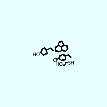 C1=Cc2cccc3cccc1c23.C=Cc1ccc(Cl)cc1.C=Cc1ccc(O)cc1.OCCS